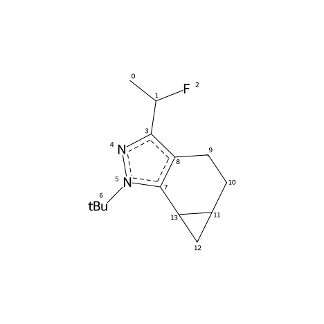 CC(F)c1nn(C(C)(C)C)c2c1CCC1CC21